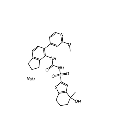 COc1cc(-c2ccc3c(c2NC(=O)NS(=O)(=O)c2cc4c(s2)CCCC4(C)O)CCC3)ccn1.[NaH]